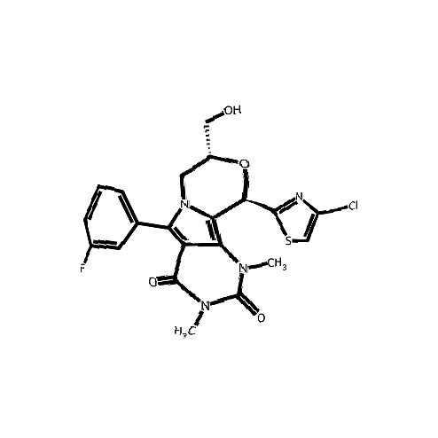 Cn1c(=O)c2c(-c3cccc(F)c3)n3c(c2n(C)c1=O)[C@H](c1nc(Cl)cs1)O[C@@H](CO)C3